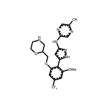 COc1cc(C(F)(F)F)cc(OCC2CNCCO2)c1-c1cc(Nc2cnc(C#N)cn2)n[nH]1